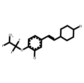 CCC1CCC(C=Cc2ccc(OC(F)(F)C(F)C(F)(F)F)c(Cl)c2)CC1